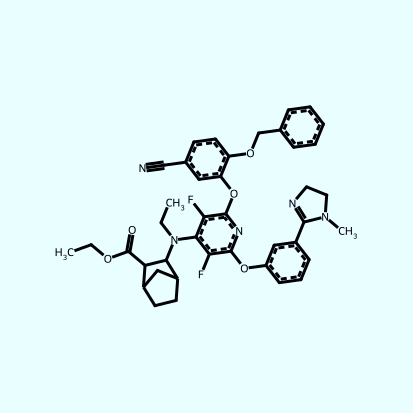 CCOC(=O)C1C2CCC(C2)C1N(CC)c1c(F)c(Oc2cccc(C3=NCCN3C)c2)nc(Oc2cc(C#N)ccc2OCc2ccccc2)c1F